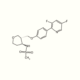 CS(=O)(=O)N[C@H]1CCOC[C@@H]1COc1ccc(-c2ncc(F)cc2F)cc1